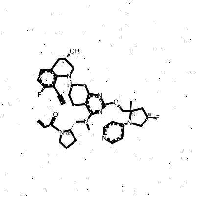 C#Cc1c(F)ccc2c1N([C@H]1CCc3c(nc(OC[C@]4(C)C[C@@H](F)CN4c4ccncc4)nc3N(C)C[C@@H]3CCCN3C(=O)C=C)C1)C[C@H](O)C2